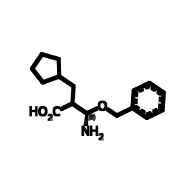 N[C@H](OCc1ccccc1)C(CC1CCCC1)C(=O)O